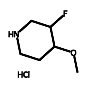 COC1CCNCC1F.Cl